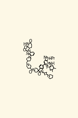 Cc1cc(F)c(Nc2nc(-c3ccc4c(c3)N(C3CC(N5CCCCC5)C3)C(=O)C43CCN(C(=O)C4CCN(CC5CCN(c6cccc7c6n(C)c(=O)n7C6CCC(=O)NC6=O)CC5)CC4)CC3)cc3ncn(C(C)C)c23)cc1C